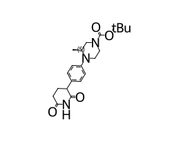 C[C@H]1CN(C(=O)OC(C)(C)C)CCN1c1ccc(C2CCC(=O)NC2=O)cc1